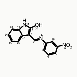 O=[N+]([O-])c1cccc(/N=C/c2c(O)[nH]c3ccccc23)c1